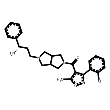 Cc1onc(-c2ccccc2Cl)c1C(=O)N1CC2CN(CC[C@H](N)c3ccccc3)CC2C1